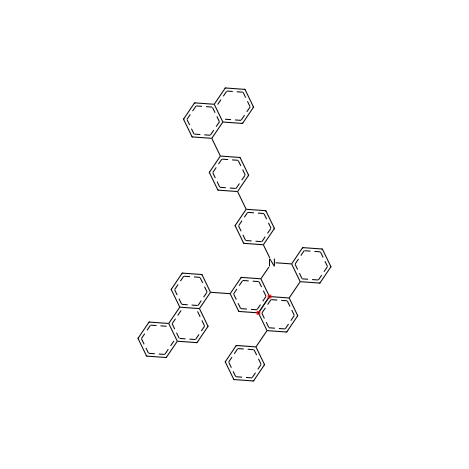 c1ccc(-c2ccc(-c3ccccc3N(c3ccc(-c4ccc(-c5cccc6ccccc56)cc4)cc3)c3cccc(-c4cccc5c4ccc4ccccc45)c3)cc2)cc1